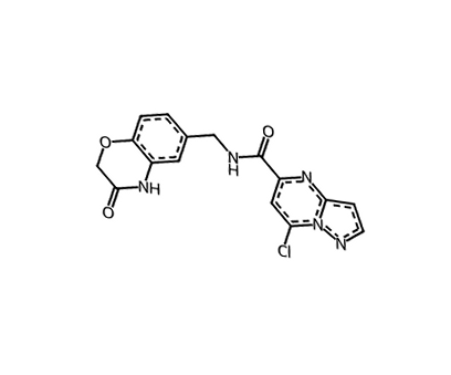 O=C1COc2ccc(CNC(=O)c3cc(Cl)n4nccc4n3)cc2N1